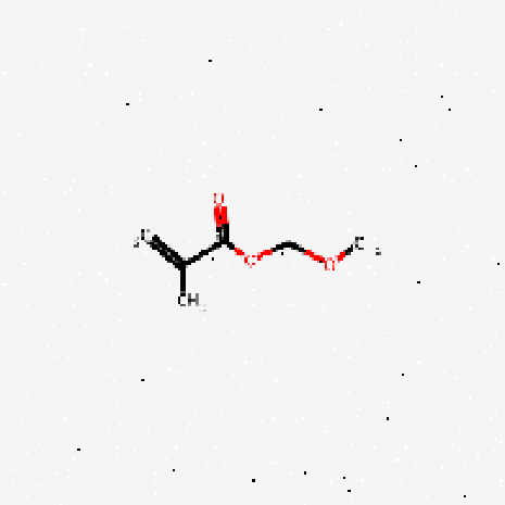 C=C(C)C(=O)OCOC